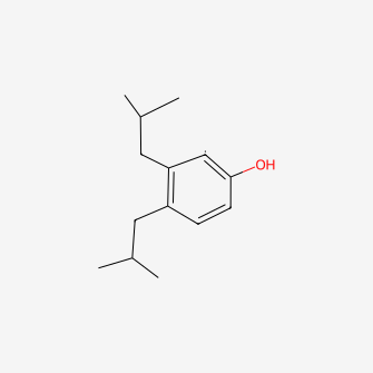 CC(C)Cc1[c]c(O)ccc1CC(C)C